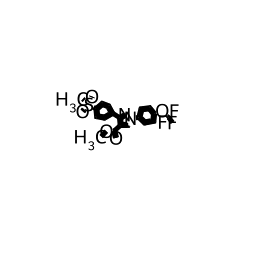 COC(=O)c1cn(-c2ccc(OC(F)(F)F)cc2)nc1-c1ccc(S(C)(=O)=O)cc1